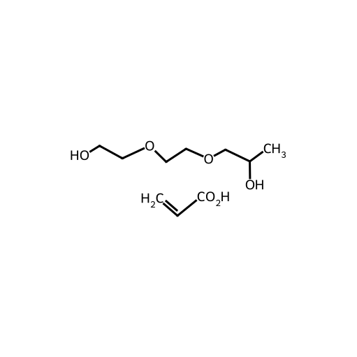 C=CC(=O)O.CC(O)COCCOCCO